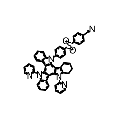 N#Cc1ccc(S(=O)(=O)c2ccc(-n3c4ccccc4c4c3c3c5c(n(-c6ccccn6)c3c3c6ccccc6n(-c6ccccn6)c34)CCC=C5)cc2)cc1